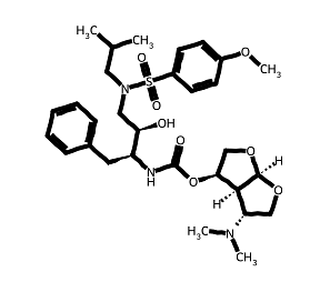 COc1ccc(S(=O)(=O)N(CC(C)C)C[C@@H](O)[C@H](Cc2ccccc2)NC(=O)O[C@H]2CO[C@H]3OC[C@H](N(C)C)[C@H]32)cc1